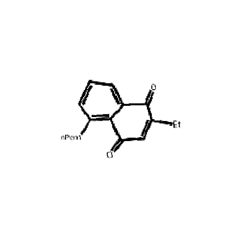 CCCCCc1cccc2c1C(=O)C=C(CC)C2=O